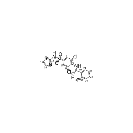 CC(Nc1c(Cl)cc(S(=O)(=O)Nc2nccs2)cc1Cl)c1ccccc1F